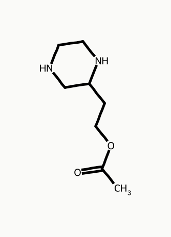 CC(=O)OCCC1CNCCN1